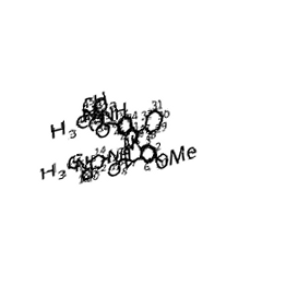 COc1ccc2c(c1)C1CC1(C(=O)NC1CC3N(C)C4CCC43C1)Cn1c-2c(C2CCCCC2)c2ccc(C(=O)NS(=O)(=O)N(C)C)cc21